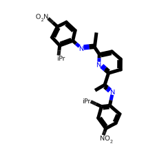 CC(=Nc1ccc([N+](=O)[O-])cc1C(C)C)c1cccc(C(C)=Nc2ccc([N+](=O)[O-])cc2C(C)C)n1